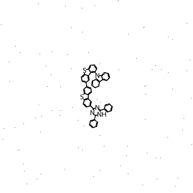 C1=Cc2c(c3ccccc3n2-c2cccc3sc4ccc(-c5ccc6c(c5)sc5ccc(C7=NC(c8ccccc8)NC(c8ccccc8)=N7)cc56)cc4c23)CC1